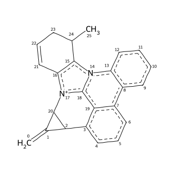 C=C1C2c3cccc4c5ccccc5n5c6c([n+](c5c34)C12)C=CCC6C